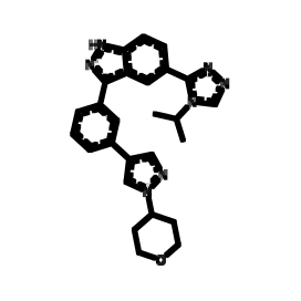 CC(C)n1cnnc1-c1ccc2[nH]nc(-c3cccc(-c4cnn(C5CCOCC5)c4)c3)c2c1